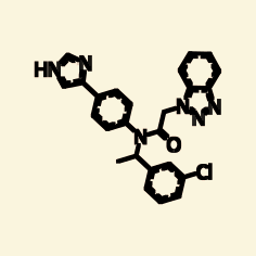 CC(c1cccc(Cl)c1)N(C(=O)Cn1nnc2ccccc21)c1ccc(-c2c[nH]cn2)cc1